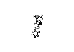 C[C@@H]1Cn2nc(OCc3ccccc3)cc2CN1